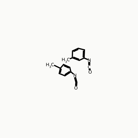 Cc1ccc(N=C=O)cc1.Cc1cccc(N=C=O)c1